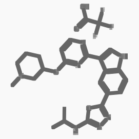 CC(C)Nc1nnc(-c2ccc3[nH]cc(-c4nccc(OC5CCCN(C)C5)n4)c3c2)o1.O=C(O)C(F)(F)F